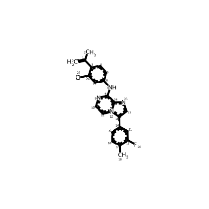 C=C(C)c1ccc(Nc2nccn3c(-c4ccc(C)c(F)c4)cnc23)cc1Cl